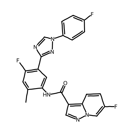 Cc1cc(F)c(-c2ncn(-c3ccc(F)cc3)n2)cc1NC(=O)c1cnn2cc(F)ccc12